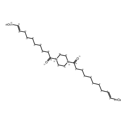 CCCCCCCCC=CCCCCCCCC(=O)N1CCN(C(=O)CCCCCCCC=CCCCCCCCC)CC1